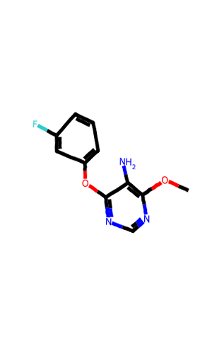 COc1ncnc(Oc2cccc(F)c2)c1N